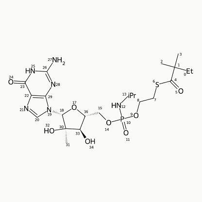 CCC(C)(C)C(=O)SCCOP(=O)(NC(C)C)OC[C@H]1O[C@@H](n2cnc3c(=O)[nH]c(N)nc32)[C@](C)(O)[C@@H]1O